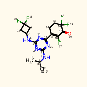 C[C@@H](Nc1nc(NC2CC(F)(F)C2)nc(C2=C(F)C(=O)C(F)(F)CC2)n1)C(F)(F)F